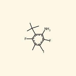 Cc1c(F)c(C(C)(C)C)c(N)c(F)c1I